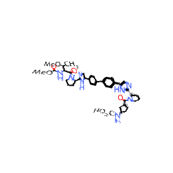 COC(=O)NC(C(=O)N1CCCC1c1ncc(-c2ccc(-c3ccc(-c4cnc([C@@H]5CCCN5C(=O)[C@H]5CC[C@@H](NC(=O)O)C5)[nH]4)cc3)cc2)[nH]1)C(C)OC